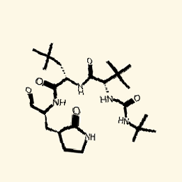 CC(C)(C)C[C@H](NC(=O)[C@@H](NC(=O)NC(C)(C)C)C(C)(C)C)C(=O)N[C@H](C=O)C[C@@H]1CCNC1=O